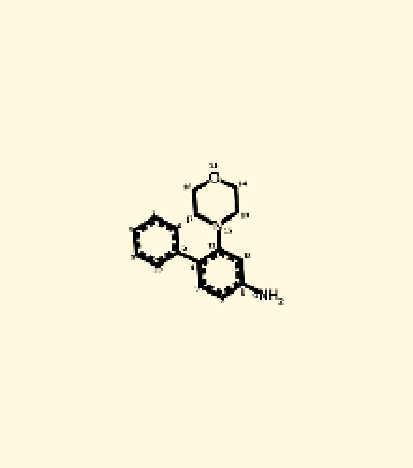 Nc1ccc(-c2ccccc2)c(N2CCOCC2)c1